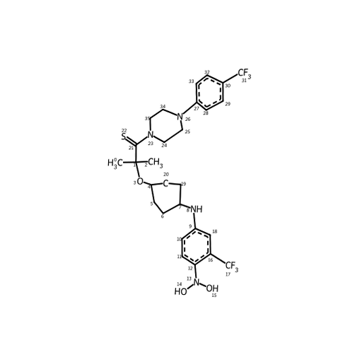 CC(C)(OC1CCC(Nc2ccc(N(O)O)c(C(F)(F)F)c2)CC1)C(=S)N1CCN(c2ccc(C(F)(F)F)cc2)CC1